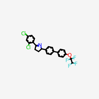 FC(F)C(F)(F)Oc1ccc(-c2ccc(C3CCC(c4ccc(Cl)cc4Cl)=N3)cc2)cc1